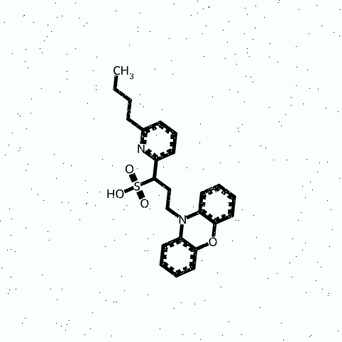 CCCCc1cccc(C(CCN2c3ccccc3Oc3ccccc32)S(=O)(=O)O)n1